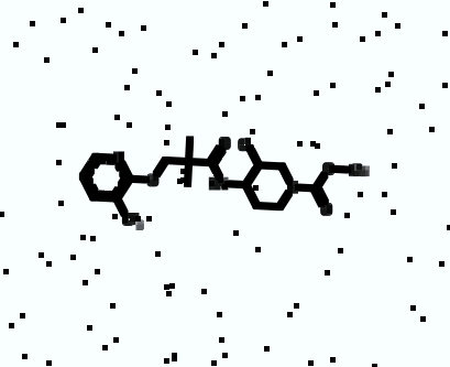 CC(C)(C)OC(=O)N1CCC(NC(=O)C(C)(C)COc2ncccc2C(F)(F)F)C(Cl)C1